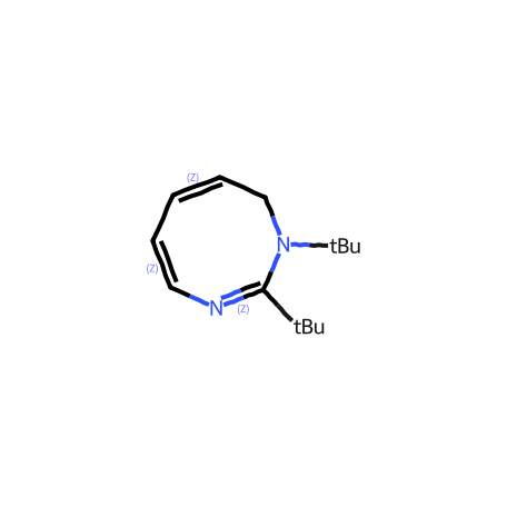 CC(C)(C)/C1=N/C=C\C=C/CN1C(C)(C)C